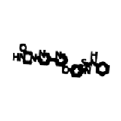 O=C1CN(c2ccc(-c3cc(Oc4ccc5nc(NC6CCCCC6)sc5c4)ccn3)cn2)CCN1